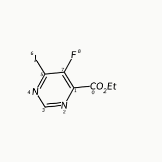 CCOC(=O)c1ncnc(I)c1F